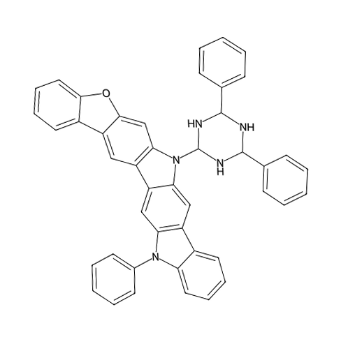 c1ccc(C2NC(c3ccccc3)NC(n3c4cc5oc6ccccc6c5cc4c4cc5c(cc43)c3ccccc3n5-c3ccccc3)N2)cc1